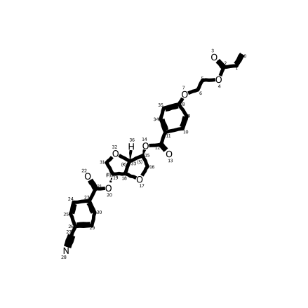 C=CC(=O)OCCOc1ccc(C(=O)O[C@H]2COC3[C@H](OC(=O)c4ccc(C#N)cc4)CO[C@@H]32)cc1